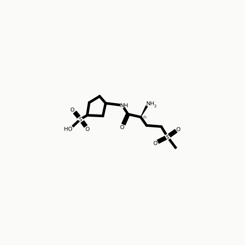 CS(=O)(=O)CC[C@H](N)C(=O)NC1CCC(S(=O)(=O)O)C1